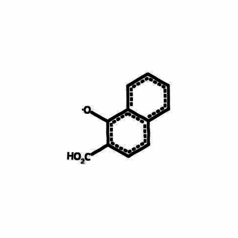 [O]c1c(C(=O)O)ccc2ccccc12